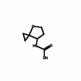 O=C(O)NC1CCOC12CC2